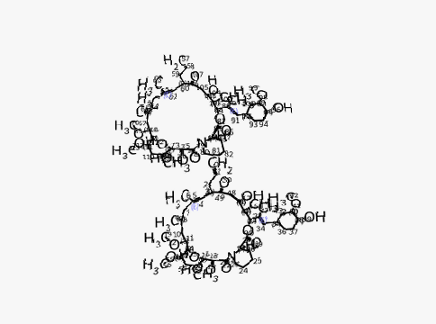 C=CC[C@@H]1/C=C(\C)C[C@H](C)C[C@H](OC)[C@H]2O[C@@](O)(C(=O)C(=O)N3CCCC[C@H]3C(=O)O[C@H](/C(C)=C/[C@@H]3CC[C@@H](O)[C@H](OC)C3)[C@H](C)[C@@H](O)CC1=O)[C@H](C)C[C@@H]2OC.C=CC[C@@H]1/C=C(\C)C[C@H](C)C[C@H](OC)[C@H]2O[C@@](O)(C(=O)C(=O)N3CCCC[C@H]3C(=O)O[C@H](/C(C)=C/[C@@H]3CC[C@@H](O)[C@H](OC)C3)[C@H](C)[C@@H](O)CC1=O)[C@H](C)C[C@@H]2OC